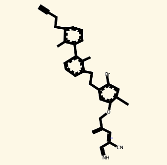 C#CCCc1cccc(-c2cccc(CCc3cc(OCC(=C)/C=C(/C#N)C=N)c(C)cc3Br)c2C)c1C